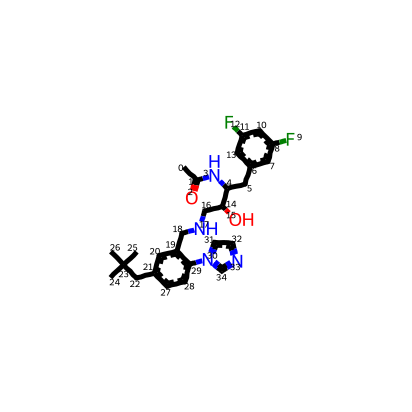 CC(=O)NC(Cc1cc(F)cc(F)c1)C(O)CNCc1cc(CC(C)(C)C)ccc1-n1ccnc1